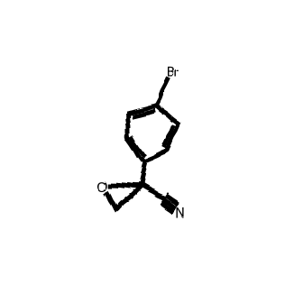 N#CC1(c2ccc(Br)cc2)CO1